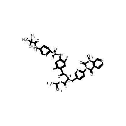 CC(C)OC(=O)[C@H](Cc1ccc(-n2c(=O)c3ccncc3n(C)c2=O)nc1)NC(=O)c1cc(F)c(NS(=O)(=O)c2ccc(NC(=O)C(C)(C)C)cn2)cc1F